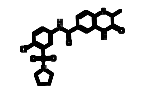 CC1Sc2ccc(C(=O)Nc3ccc(Cl)c(S(=O)(=O)N4CCCC4)c3)cc2NC1=O